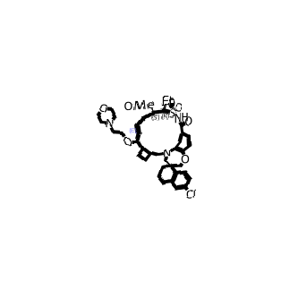 CC[C@@H]1[C@@H](OC)C/C=C/C(OCCN2CCOCC2)C2CCC2CN2C[C@@]3(CCCc4cc(Cl)ccc43)COc3ccc(cc32)C(=O)NS1(=O)=O